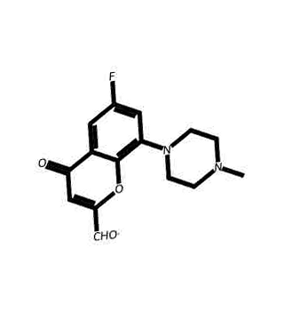 CN1CCN(c2cc(F)cc3c(=O)cc([C]=O)oc23)CC1